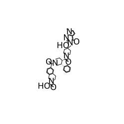 Cn1ccc2c(=O)n(CC3(O)CCN(C(=O)[C@@H]4CCN(C(=O)c5ccc6c(c5)CCN(C(=O)O)C6)C[C@H]4c4ccccc4)CC3)cnc21